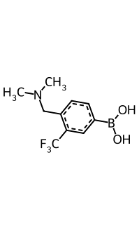 CN(C)Cc1ccc(B(O)O)cc1C(F)(F)F